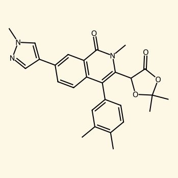 Cc1ccc(-c2c(C3OC(C)(C)OC3=O)n(C)c(=O)c3cc(-c4cnn(C)c4)ccc23)cc1C